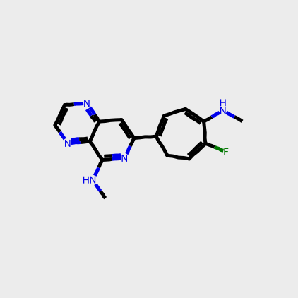 CNC1=CC=C(c2cc3nccnc3c(NC)n2)CC=C1F